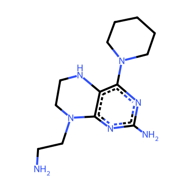 NCCN1CCNc2c(N3CCCCC3)nc(N)nc21